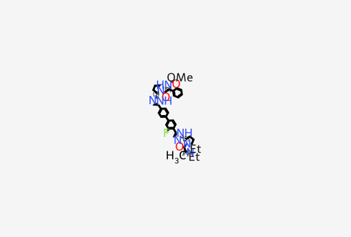 CCN(CC)[C@H](C)C(=O)N1CCC[C@H]1c1ncc(-c2ccc(-c3ccc(-c4cnc([C@@H]5CCCN5C(=O)[C@H](NC(=O)OC)c5ccccc5)[nH]4)cc3)cc2F)[nH]1